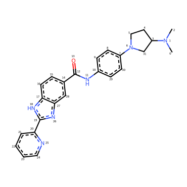 CN(C)C1CCN(c2ccc(NC(=O)c3ccc4[nH]c(-c5ccccn5)nc4c3)cc2)C1